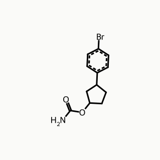 NC(=O)OC1CCC(c2ccc(Br)cc2)C1